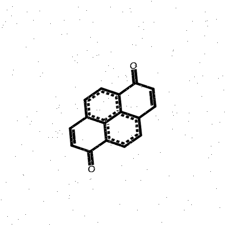 O=C1C=Cc2ccc3c4c(ccc1c24)C=CC3=O